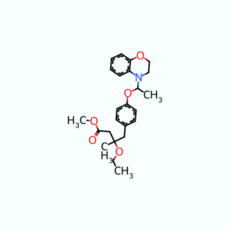 CCOC(C)(CC(=O)OC)Cc1ccc(OC(C)N2CCOc3ccccc32)cc1